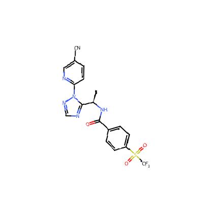 C[C@@H](NC(=O)c1ccc(S(=O)(=O)C(F)(F)F)cc1)c1ncnn1-c1ccc(C#N)cn1